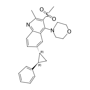 Cc1nc2ccc([C@@H]3C[C@H]3c3ccccc3)cc2c(N2CCOCC2)c1S(C)(=O)=O